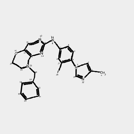 Cc1cn(-c2ccc(Nc3ncc4c(n3)N(Cc3ccccc3)CCO4)cc2F)cn1